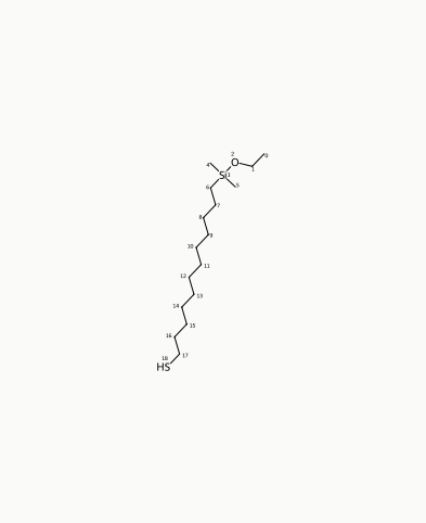 CCO[Si](C)(C)CCCCCCCCCCCCS